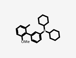 COc1cccc(C)c1-c1cccc(P(C2CCCCC2)C2CCCCC2)c1